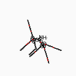 CCCCCCCCCCCCCCCCCCOC1CC(COC2CC(C[NH])CC(OCC3CC(OCCCCCCCCCCCCCCCCCC)C(OCCCCCCCCCCCCCCCCCC)C(OCCCCCCCCCCCCCCCCCC)C3)C2)CC(OCCCCCCCCCCCCCCCCCC)C1OCCCCCCCCCCCCCCCCCC